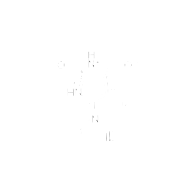 C=CN(C)c1[nH]c(=O)[nH]c(=O)c1C